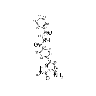 CNC(=O)c1nc(-c2ccc(C(=O)NCC(=O)c3ccccc3)cc2)cnc1N